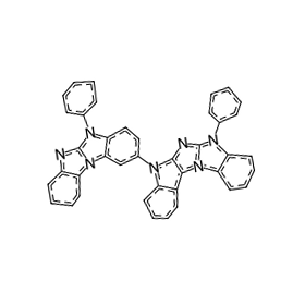 c1ccc(-n2c3ccc(-n4c5ccccc5c5c4nc4n(-c6ccccc6)c6ccccc6n54)cc3n3c4ccccc4nc23)cc1